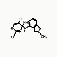 CN1Cc2cccc(NC3(N)N=C(Cl)NC=C3Cl)c2C1